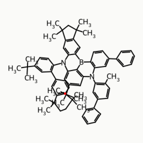 Cc1ccc(-c2ccccc2)cc1N1c2cc(-c3ccccc3)ccc2B2c3cc4c(cc3N(c3ccc(C(C)(C)C)cc3-c3ccc5c(c3)C(C)(C)CCC5(C)C)c3cc(C(C)(C)C)cc1c32)C(C)(C)CC4(C)C